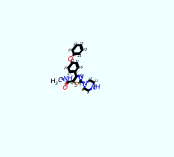 CNC(=O)c1sc(N2CCNCC2)nc1-c1ccc(Oc2ccccc2)cc1